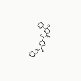 O=C(Nc1ccc(Cl)c(-c2ccccn2)c1)c1ccc(C(=O)NCc2ccccc2)nc1